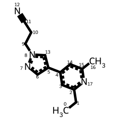 CCc1cc(-c2cnn(CCC#N)c2)cc(C)n1